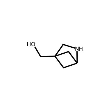 OCC12CNC(C1)C2